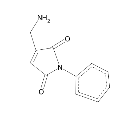 NCC1=CC(=O)N(c2ccccc2)C1=O